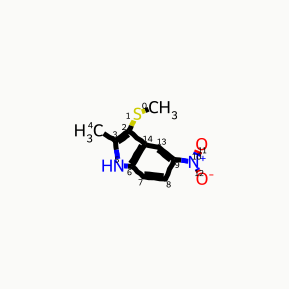 CSc1c(C)[nH]c2ccc([N+](=O)[O-])cc12